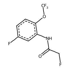 O=C(CF)Nc1cc(F)ccc1OC(F)(F)F